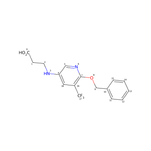 O=C(O)CCNc1cnc(OCc2ccccc2)c(C(F)(F)F)c1